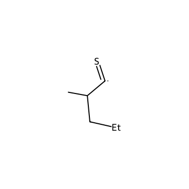 CCCC(C)[C]=S